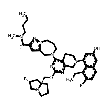 CCCCN(C)C(=O)c1cc2n(n1)CCCN(c1nc(OC[C@@]34CCCN3C[C@H](F)C4)nc3c1CCN(c1cc(O)cc4ccc(F)c(CC)c14)C3)C2